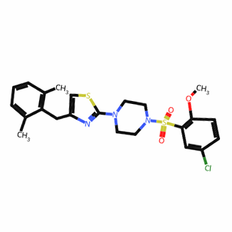 COc1ccc(Cl)cc1S(=O)(=O)N1CCN(c2nc(Cc3c(C)cccc3C)cs2)CC1